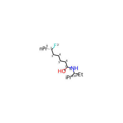 CCC[C@H](F)CCCCC(O)N[C@@H](CC)C(C)C